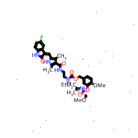 CCOC(=O)[C@H](C)NP(=O)(COC)Oc1cc(COC(=O)N(CC)CCNC(=O)c2c(C)[nH]c(/C=C3\C(=O)Nc4ccc(F)cc43)c2C)ccc1OC